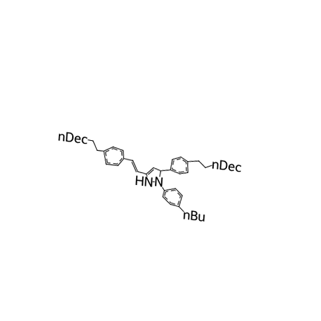 CCCCCCCCCCCCc1ccc(C=CC2=CC(c3ccc(CCCCCCCCCCCC)cc3)N(c3ccc(CCCC)cc3)N2)cc1